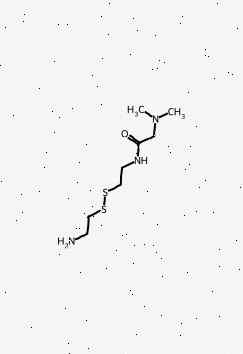 CN(C)CC(=O)NCCSSCCN